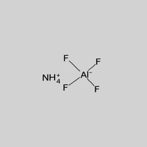 [F][Al-]([F])([F])[F].[NH4+]